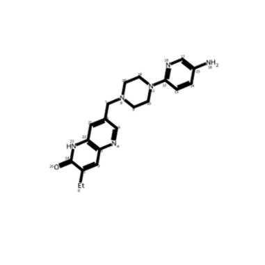 CCc1cc2ncc(CN3CCN(c4ccc(N)cn4)CC3)cc2[nH]c1=O